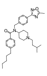 CCCCCc1ccc(C(=O)N(Cc2ccc(-c3noc(C)n3)cc2)C2CCN(CCC(C)C)CC2)cc1